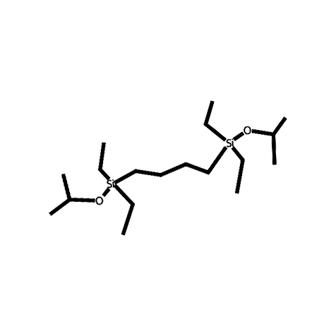 CC[Si](CC)(CCCC[Si](CC)(CC)OC(C)C)OC(C)C